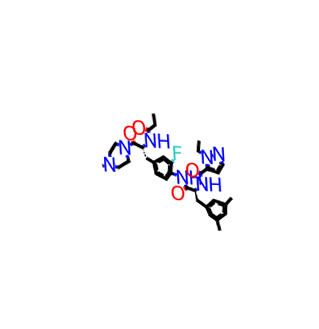 CCC(=O)N[C@H](Cc1ccc(NC(=O)[C@H](Cc2cc(C)cc(C)c2)NC(=O)c2ccnn2CC)c(F)c1)C(=O)N1CCN(C)CC1